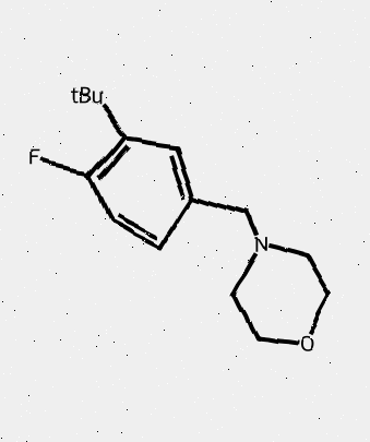 CC(C)(C)c1cc(CN2CCOCC2)ccc1F